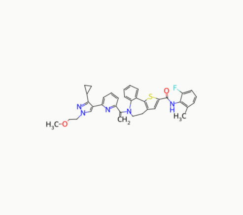 C=C(c1cccc(-c2cn(CCOC)nc2C2CC2)n1)N1CCc2cc(C(=O)Nc3c(C)cccc3F)sc2-c2ccccc21